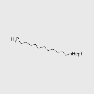 CCCCCCCCCCCCCCCCCCP